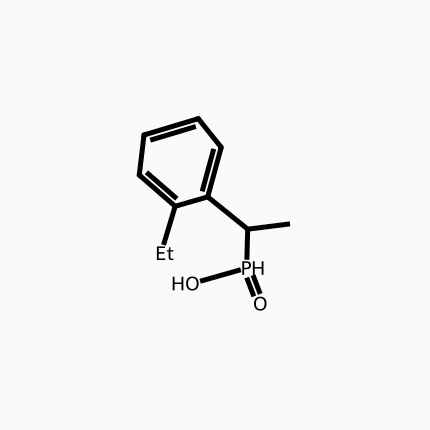 CCc1ccccc1C(C)[PH](=O)O